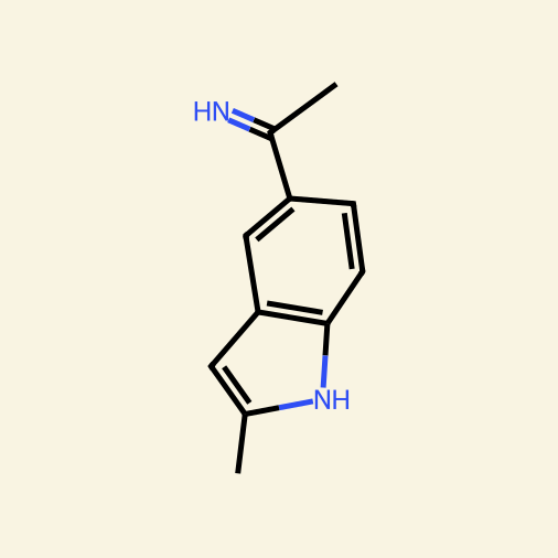 CC(=N)c1ccc2[nH]c(C)cc2c1